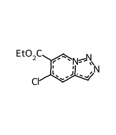 CCOC(=O)c1cn2nncc2cc1Cl